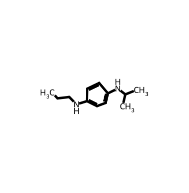 CCCNc1ccc(NC(C)C)cc1